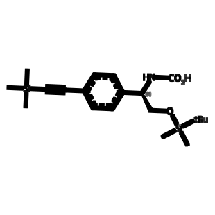 CC(C)(C)[Si](C)(C)OC[C@H](NC(=O)O)c1ccc(C#C[Si](C)(C)C)cc1